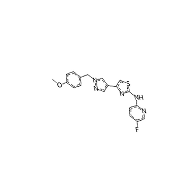 COc1ccc(Cn2cc(-c3csc(Nc4ccc(F)cn4)n3)cn2)cc1